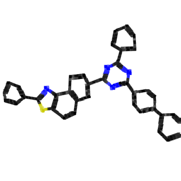 c1ccc(-c2ccc(-c3nc(-c4ccccc4)nc(-c4ccc5c(ccc6sc(-c7ccccc7)nc65)c4)n3)cc2)cc1